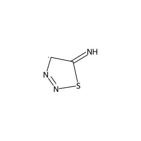 N=C1[CH]N=NS1